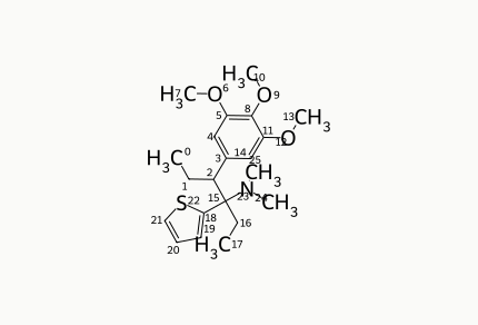 CCC(c1cc(OC)c(OC)c(OC)c1)C(CC)(c1cccs1)N(C)C